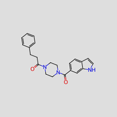 O=C(CCc1ccccc1)N1CCN(C(=O)c2ccc3cc[nH]c3c2)CC1